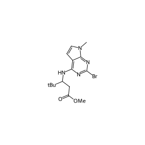 COC(=O)CC(Nc1nc(Br)nc2c1ccn2C)C(C)(C)C